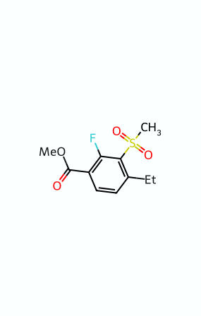 CCc1ccc(C(=O)OC)c(F)c1S(C)(=O)=O